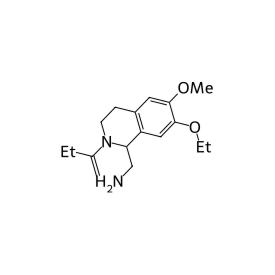 C=C(CC)N1CCc2cc(OC)c(OCC)cc2C1CN